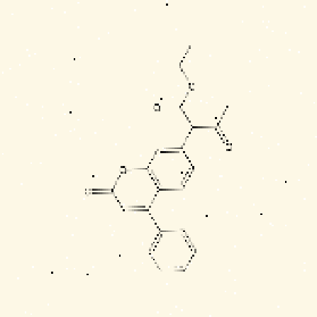 CCOC(=O)C(C(C)=O)c1ccc2c(-c3ccccc3)cc(=O)oc2c1